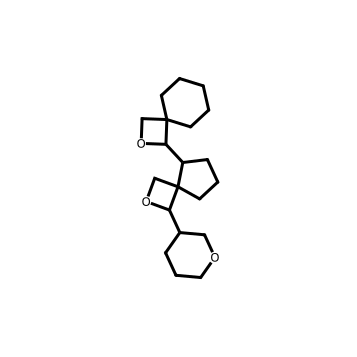 C1CCC2(CC1)COC2C1CCCC12COC2C1CCCOC1